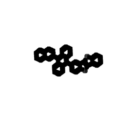 c1ccc2cc(-c3c4ccccc4c(-c4ccc5oc6c7ccccc7oc6c5c4)c4ccccc34)ccc2c1